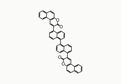 O=c1oc2ccc3ccccc3c2cc1-c1cccc2c(-c3cccc4c(-c5cc6c(ccc7ccccc76)oc5=O)cccc34)cccc12